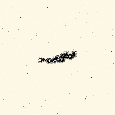 CCN(CC)CCN1CCN(C2=NC(=O)/C(=C\c3ccc(OCc4ccc(C(F)(F)F)cc4C(F)(F)F)c(OC)c3)S2)CC1